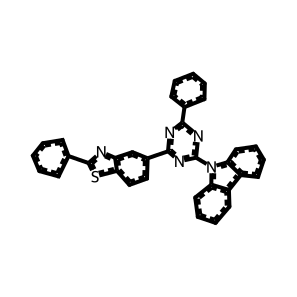 c1ccc(-c2nc(-c3ccc4sc(-c5ccccc5)nc4c3)nc(-n3c4ccccc4c4ccccc43)n2)cc1